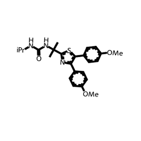 COc1ccc(-c2nc(C(C)(C)NC(=O)NC(C)C)sc2-c2ccc(OC)cc2)cc1